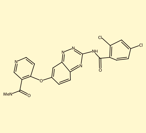 CNC(=O)c1cnccc1Oc1ccc2nc(NC(=O)c3ccc(Cl)cc3Cl)nnc2c1